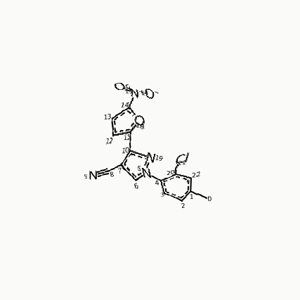 Cc1ccc(-n2cc(C#N)c(-c3ccc([N+](=O)[O-])o3)n2)c(Cl)c1